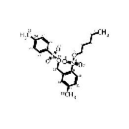 CCCCCOS(=O)(=O)c1ccc(C)cc1COS(=O)(=O)c1ccc(C)cc1